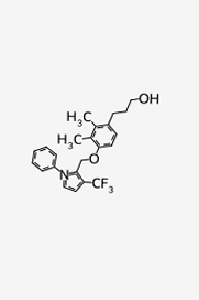 Cc1c(CCCO)ccc(OCc2c(C(F)(F)F)ccn2-c2ccccc2)c1C